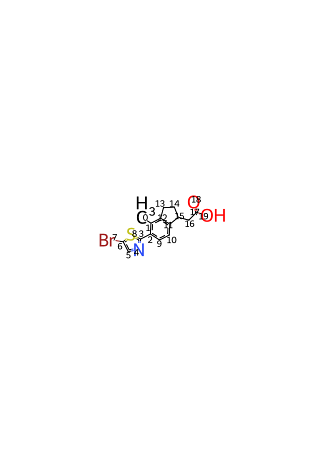 Cc1c(-c2ncc(Br)s2)ccc2c1CCC2CC(=O)O